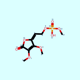 COC1=C(OC)/C(=C\COP(=O)(O)OC)OC1=O